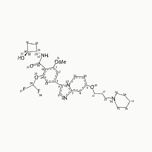 COc1cc(-c2cnc3cc(OCCCN4CCCCC4)ccn23)cc(OC(F)F)c1C(=O)N[C@H]1CC[C@@H]1O